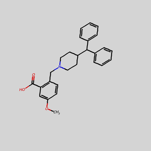 COc1ccc(CN2CCC(C(c3ccccc3)c3ccccc3)CC2)c(C(=O)O)c1